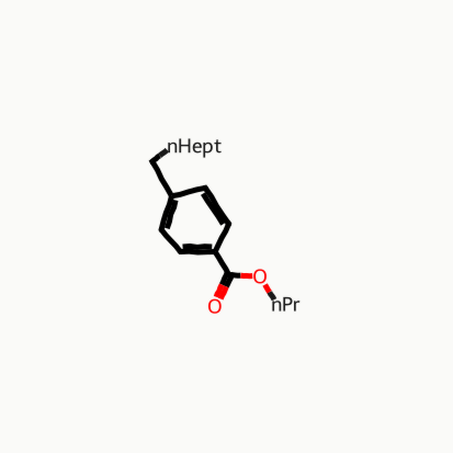 CCCCCCCCc1ccc(C(=O)OCCC)cc1